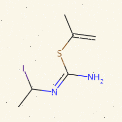 C=C(C)S/C(N)=N\C(C)I